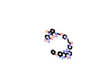 N=C(/C(C(N)=O)=C1/NCC[C@@H](C2CCN(C(=O)CCN3CCC(OCCNc4cccc5c4C(=O)N(C4CCC(=O)NC4=O)C5=O)CC3)CC2)N1)c1ccc(Oc2ccccc2)cc1